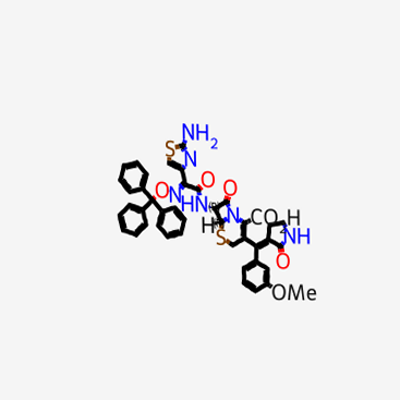 COc1cccc(C(=C2CCNC2=O)C2=C(C(=O)O)N3C(=O)[C@@H](NC(=O)C(=NOC(c4ccccc4)(c4ccccc4)c4ccccc4)c4csc(N)n4)[C@H]3SC2)c1